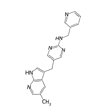 Cc1cnc2[nH]cc(Cc3cnc(NCc4cccnc4)nc3)c2c1